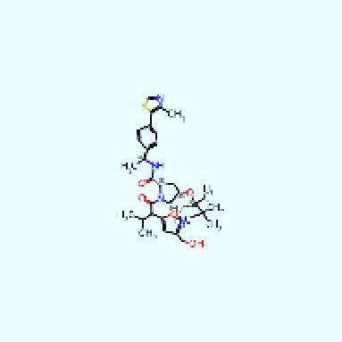 Cc1ncsc1-c1ccc([C@H](C)NC(=O)[C@@H]2C[C@@H](O[Si](C)(C)C(C)(C)C)CN2C(=O)C(c2cc(CO)no2)C(C)C)cc1